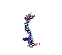 C#Cc1c(F)ccc2cc(O)cc(-c3ncc4c(N5CC6CCC(C5)N6)nc(OCCN5CCC6(CC5)CCN(CC5CCN(c7ccc8c(c7)n(C)c(=O)n8C7CCC(=O)NC7=O)CC5)CC6)nc4c3F)c12